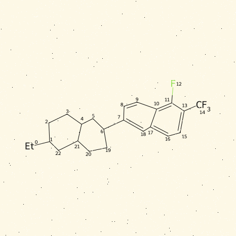 CCC1CCC2CC(c3ccc4c(F)c(C(F)(F)F)ccc4c3)CCC2C1